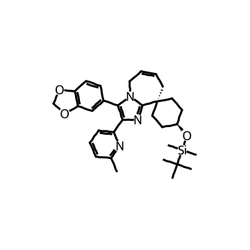 Cc1cccc(-c2nc3n(c2-c2ccc4c(c2)OCO4)CC=CC[C@]32CC[C@H](O[Si](C)(C)C(C)(C)C)CC2)n1